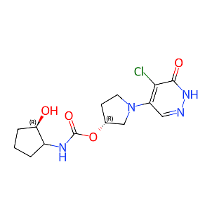 O=C(NC1CCC[C@H]1O)O[C@@H]1CCN(c2cn[nH]c(=O)c2Cl)C1